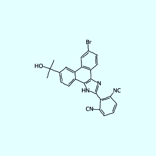 [C-]#[N+]c1cccc([N+]#[C-])c1-c1nc2c3ccc(Br)cc3c3cc(C(C)(C)O)ccc3c2[nH]1